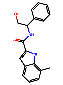 Cc1cccc2cc(C(=O)NC(CO)c3ccccc3)[nH]c12